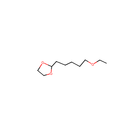 CCOCCCCCC1OCCO1